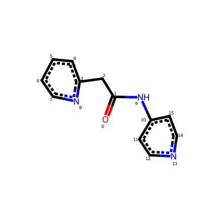 O=C(Cc1ccccn1)Nc1ccncc1